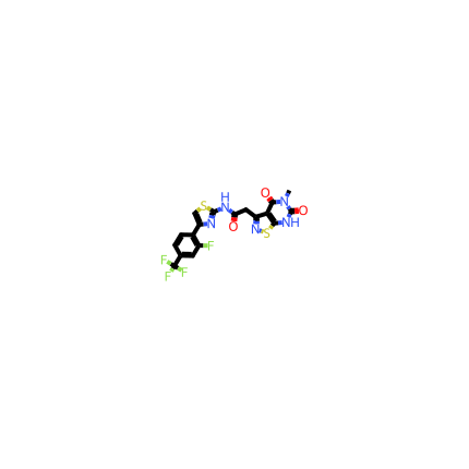 Cn1c(=O)[nH]c2snc(CC(=O)Nc3nc(-c4ccc(C(F)(F)F)cc4F)cs3)c2c1=O